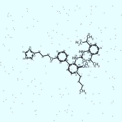 CCCCn1ccc(-c2cccc(OCCCn3cncn3)c2)c(NC(=O)Nc2c(C(C)C)cccc2C(C)C)c1=O